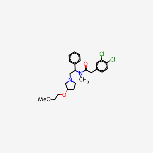 COCCO[C@H]1CCN(CC(c2ccccc2)N(C)C(=O)Cc2ccc(Cl)c(Cl)c2)C1